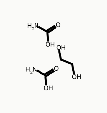 NC(=O)O.NC(=O)O.OCCO